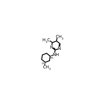 CC1C=NC(N[C@@H]2CCC[C@H](C)C2)=NC1C